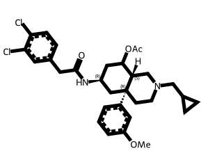 COc1cccc([C@@]23CCN(CC4CC4)C[C@H]2C(OC(C)=O)C[C@H](NC(=O)Cc2ccc(Cl)c(Cl)c2)C3)c1